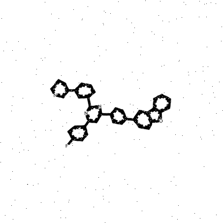 Fc1ccc(-c2cc(-c3ccc(-c4ccc5oc6ccccc6c5c4)cc3)nc(-c3cccc(-c4cccnc4)c3)n2)cc1